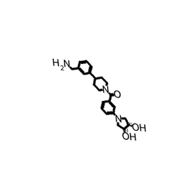 NCc1cccc(C2CCN(C(=O)c3cccc(N4C[C@@H](O)[C@@H](O)C4)c3)CC2)c1